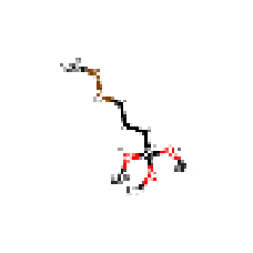 CCCCSSCCC[Si](OCC)(OCC)OCC